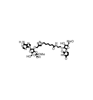 COC[C@H]1O[C@@H](n2ccc(=O)[nH]c2=O)[C@@H](OCCNC(=O)CCCCCn2cc(CO[C@H]3C(OP(=O)(O)OC)[C@@H](CO)O[C@H]3n3cnc4c(N)ncnc43)nn2)C1O